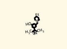 CCC1CCN(Cc2cc(O)cc(-c3c(C)noc3C)c2)CC1